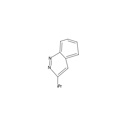 CC(C)c1cc2ccccc2nn1